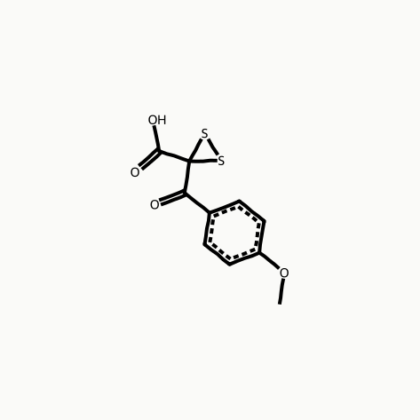 COc1ccc(C(=O)C2(C(=O)O)SS2)cc1